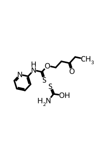 CCC(=O)CCOC(=S)Nc1ccccn1.NC(O)=S